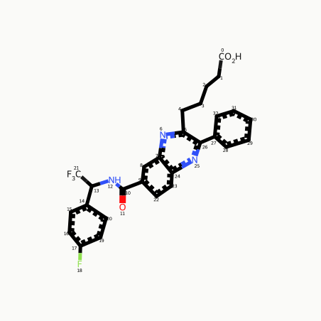 O=C(O)CCCCc1nc2cc(C(=O)NC(c3ccc(F)cc3)C(F)(F)F)ccc2nc1-c1ccccc1